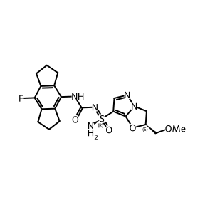 COC[C@@H]1Cn2ncc([S@](N)(=O)=NC(=O)Nc3c4c(c(F)c5c3CCC5)CCC4)c2O1